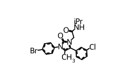 Cc1c(-c2cccc(Cl)c2)n(CC(=O)NC(C)C)c(=O)n1-c1ccc(Br)cc1